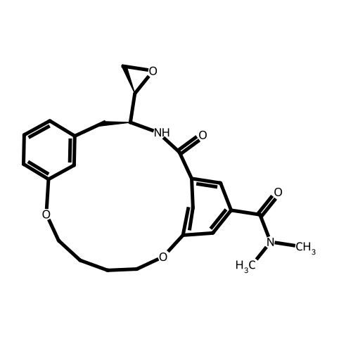 CN(C)C(=O)c1cc2cc(c1)C(=O)N[C@H]([C@H]1CO1)Cc1cccc(c1)OCCCCO2